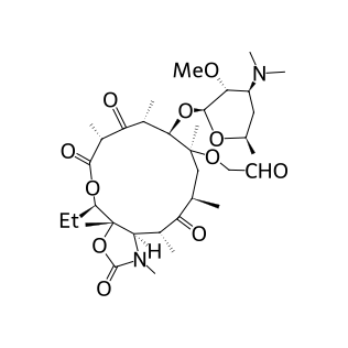 CC[C@H]1OC(=O)[C@H](C)C(=O)[C@H](C)[C@@H](O[C@@H]2O[C@H](C)C[C@H](N(C)C)[C@H]2OC)[C@@](C)(OCC=O)C[C@@H](C)C(=O)[C@H](C)[C@H]2N(C)C(=O)O[C@]12C